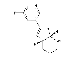 Fc1cncc(C2=C[C@H]3CCCN[C@H]3C2)c1